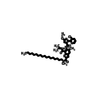 CCCCCCCCCCCCCCCCCCN(C)C(=O)n1cc2cc(C)c(NC(=O)c3cc(OC)nn3-c3ncccc3Cl)c(C(=O)NC(C)C)c2n1